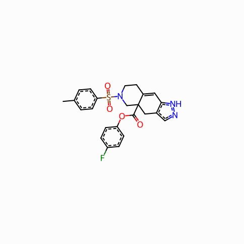 Cc1ccc(S(=O)(=O)N2CCC3=Cc4[nH]ncc4CC3(C(=O)Oc3ccc(F)cc3)C2)cc1